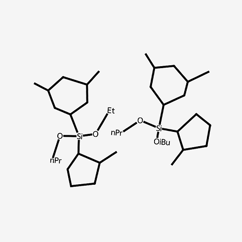 CCCO[Si](OCC(C)C)(C1CC(C)CC(C)C1)C1CCCC1C.CCCO[Si](OCC)(C1CC(C)CC(C)C1)C1CCCC1C